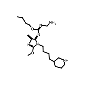 C=C1N=C(OC)N(CCCCC2CCCNC2)/C1=N/C(=N\CN)OCCCC